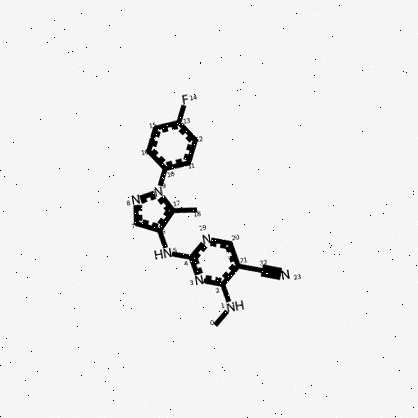 CNc1nc(Nc2cnn(-c3ccc(F)cc3)c2C)ncc1C#N